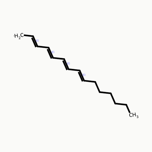 [CH2]/C=C/C=C/C=C/C=C/CCCCCC